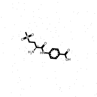 CS(=O)(=O)CC[C@H](N)C(=O)Nc1ccc(C(=O)O)cc1